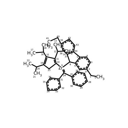 CCc1ccc2c(c1)[CH]([Zr]([C]1=C(C(C)C)C(C(C)C)=C(C(C)C)C1)=[C](c1ccccc1)c1ccccc1)c1cc(CC)ccc1-2